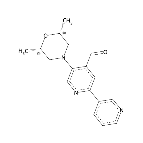 C[C@@H]1CN(c2cnc(-c3cccnc3)cc2C=O)C[C@H](C)O1